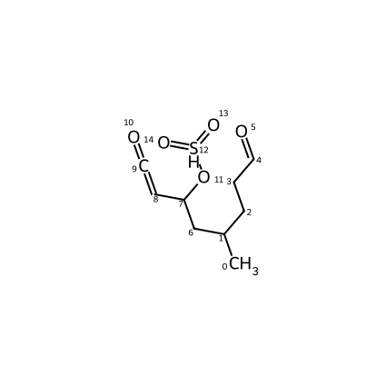 CC(CCC=O)CC(C=C=O)O[SH](=O)=O